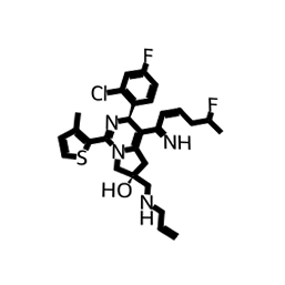 C=CCNC[C@]1(O)CC2=C(C(=N)/C=C\CC(C)F)[C@H](c3ccc(F)cc3Cl)N=C(c3sccc3C)N2C1